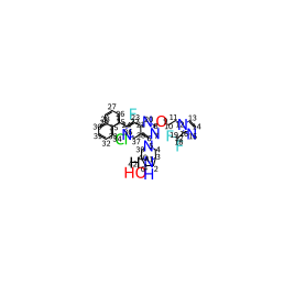 O[C@@H]1CC2CN(c3nc(OCCn4ccnc4C(F)F)nc4c(F)c(-c5cccc6cccc(Cl)c56)ncc34)C[C@H]1N2